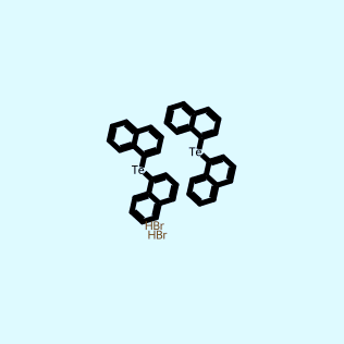 Br.Br.c1ccc2c([Te]c3cccc4ccccc34)cccc2c1.c1ccc2c([Te]c3cccc4ccccc34)cccc2c1